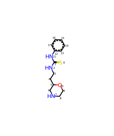 S=C(NCCC1CNCCO1)Nc1ccccc1